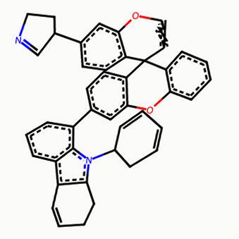 C1=CCC(n2c3c(c4cccc(-c5ccc6c(c5)Oc5ccccc5C65c6ccccc6Oc6cc(C7C=NCC7)ccc65)c42)C=CCC3)C=C1